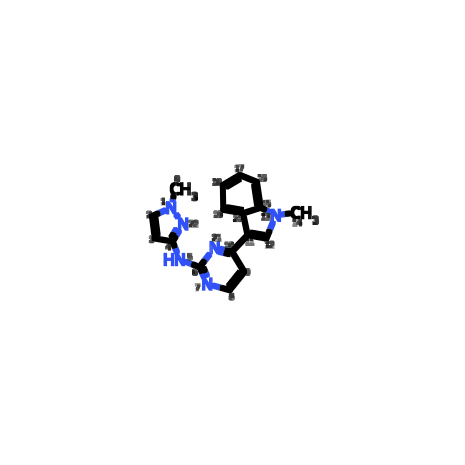 Cn1ccc(Nc2nccc(-c3cn(C)c4ccccc34)n2)n1